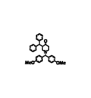 COc1ccc(C(c2ccc(OC)cc2)N2CCC(=O)C(C(c3ccccc3)c3ccccc3)C2)cc1